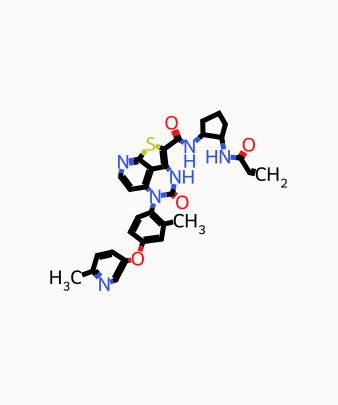 C=CC(=O)NC1CCCC1NC(=O)c1sc2nccc3c2c1NC(=O)N3c1ccc(Oc2ccc(C)nc2)cc1C